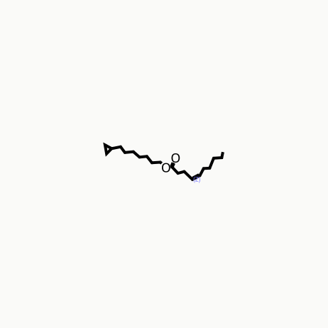 CCCCC/C=C\CCC(=O)OCCCCCCCC1CC1